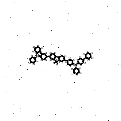 CC1(C)c2cc(-c3ccc(N(c4ccccc4)c4ccc(-c5ccccc5)cc4)cc3)ccc2-c2ccc(-c3ccc4c(c3)c3ccccc3n4-c3ccccc3)cc21